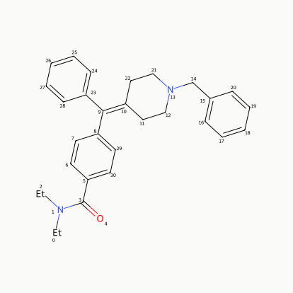 CCN(CC)C(=O)c1ccc(C(=C2CCN(Cc3ccccc3)CC2)c2ccccc2)cc1